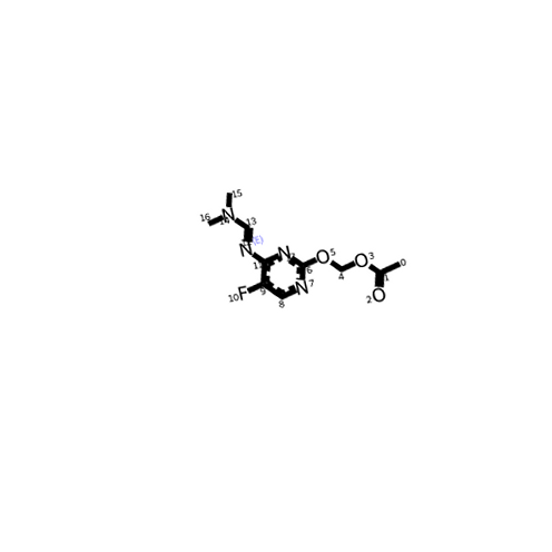 CC(=O)OCOc1ncc(F)c(/N=C/N(C)C)n1